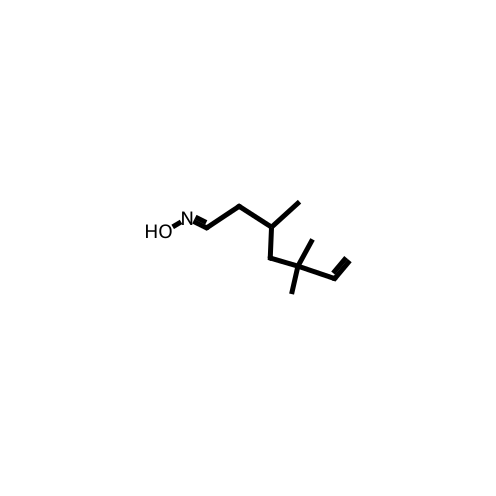 C=CC(C)(C)CC(C)C/C=N/O